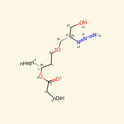 CCCCCCCCCCCC(=O)O[C@H](CCCCCCC)CCOC[C@H](CO)N=[N+]=[N-]